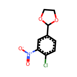 O=[N+]([O-])c1cc(C2OCCO2)ccc1Cl